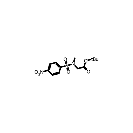 CN(CC(=O)OC(C)(C)C)S(=O)(=O)c1ccc([N+](=O)[O-])cc1